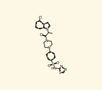 CC(C(=O)N1CCN(c2ccc(S(=O)(=O)Nc3nncs3)cc2)CC1)n1ccc2c(Cl)cccc21